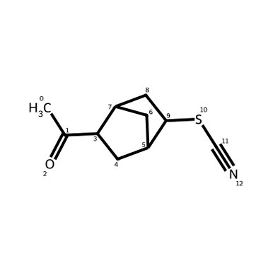 CC(=O)C1CC2CC1CC2SC#N